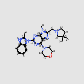 Cc1nc2ccccc2n1-c1nc(N2CCOCC2)c2nc(CN3CCC(C)(C)C3)n(C)c2n1